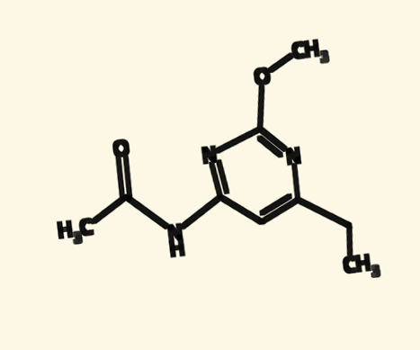 CCc1cc(NC(C)=O)nc(OC)n1